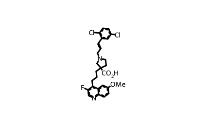 COc1ccc2ncc(F)c(CCCC3(C(=O)O)CCN(CC=Cc4cc(Cl)ccc4Cl)C3)c2c1